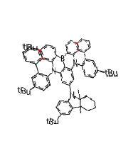 CC(C)(C)c1ccc(N2c3ccccc3B3c4ccc(C(C)(C)C)cc4N(c4ccc(C(C)(C)C)cc4-c4ccccc4)c4cc(N5c6ccc(C(C)(C)C)cc6C6(C)CCCCC56C)cc2c43)c(-c2ccccc2)c1